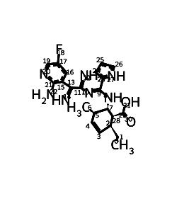 CC[C@H]1C=C[C@@H](C)[C@H](N/C(=N/C(=N)C(=N)c2cc(F)cnc2N)c2ccc[nH]2)[C@H]1C(=O)O